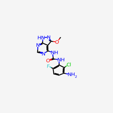 COc1n[nH]c2ncnc(NC(=O)Nc3c(F)ccc(N)c3Cl)c12